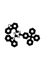 c1ccc(C(c2ccccc2)(c2ccccc2)c2ccc(-c3nc(-c4cccc5oc6ccccc6c45)nc(-n4c5ccccc5c5ccccc54)n3)cc2)cc1